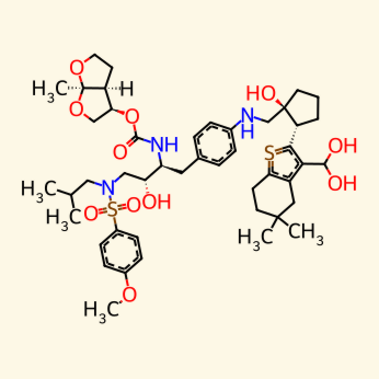 COc1ccc(S(=O)(=O)N(CC(C)C)C[C@@H](O)[C@H](Cc2ccc(NC[C@]3(O)CCC[C@@H]3c3sc4c(c3C(O)O)CC(C)(C)CC4)cc2)NC(=O)O[C@H]2CO[C@@]3(C)OCC[C@@H]23)cc1